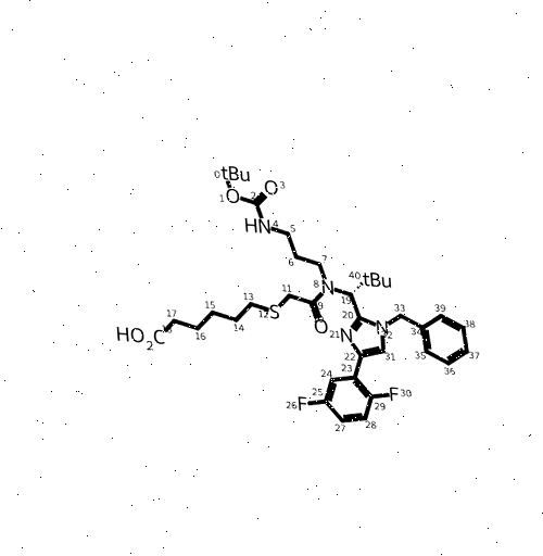 CC(C)(C)OC(=O)NCCCN(C(=O)CSCCCCCC(=O)O)[C@@H](c1nc(-c2cc(F)ccc2F)cn1Cc1ccccc1)C(C)(C)C